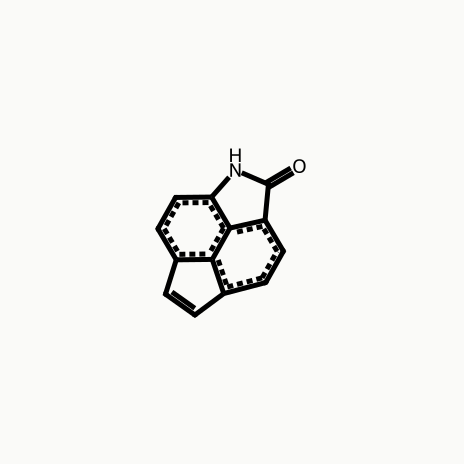 O=C1Nc2ccc3c4c(ccc1c24)C=C3